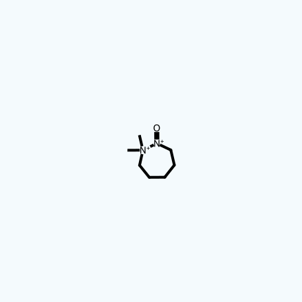 C[N+]1(C)CCCCC[N+]1=O